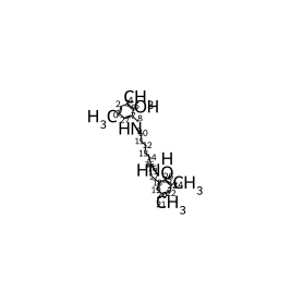 Cc1cc(C)c(O)c(CNCCCCCCNCc2cc(C)cc(C)c2O)c1